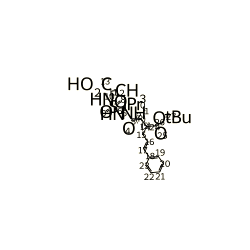 CC(C)C[C@@H](C(=O)NNS(=O)(=O)NC(C)C(=O)O)[C@H](CC=Cc1ccccc1)C(=O)OC(C)(C)C